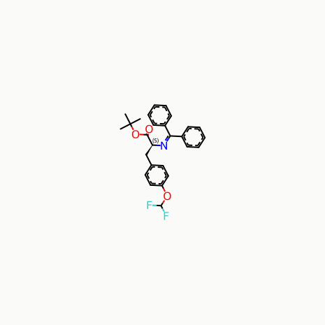 CC(C)(C)OC(=O)[C@H](Cc1ccc(OC(F)F)cc1)N=C(c1ccccc1)c1ccccc1